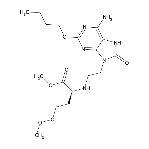 CCCCOc1nc(N)c2[nH]c(=O)n(CCN[C@@H](CCOOC)C(=O)OC)c2n1